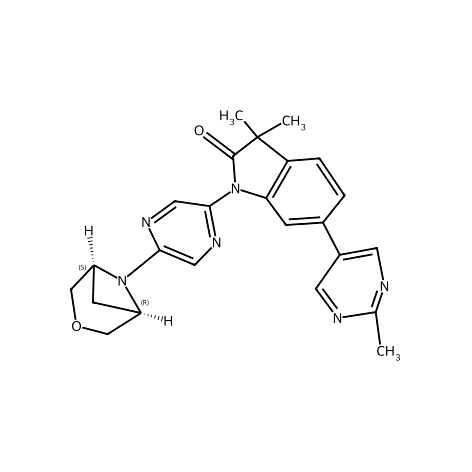 Cc1ncc(-c2ccc3c(c2)N(c2cnc(N4[C@@H]5COC[C@H]4C5)cn2)C(=O)C3(C)C)cn1